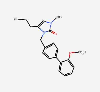 CCCCn1cc(CCC(C)C)n(Cc2ccc(-c3ccccc3OC(=O)O)cc2)c1=O